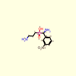 NCCCP(=O)(O)C(N)c1cccc([N+](=O)[O-])c1